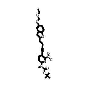 CCOCOc1ccc2oc(/C=C/C#Cc3ccc(N(C)C(=O)OC(C)(C)C)nc3[N+](=O)[O-])cc2c1